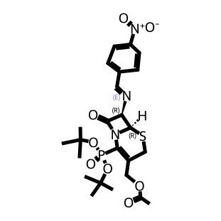 CC(=O)OCC1=C(P(=O)(OC(C)(C)C)OC(C)(C)C)N2C(=O)[C@@H](/N=C/c3ccc([N+](=O)[O-])cc3)[C@H]2SC1